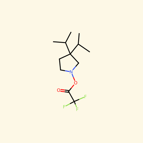 CC(C)C1(C(C)C)CCN(OC(=O)C(F)(F)F)C1